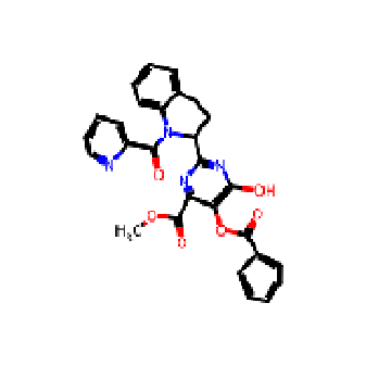 COC(=O)c1nc(C2CCc3ccccc3N2C(=O)c2ccccn2)nc(O)c1OC(=O)c1ccccc1